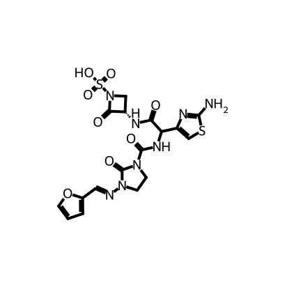 Nc1nc(C(NC(=O)N2CCN(N=Cc3ccco3)C2=O)C(=O)N[C@H]2CN(S(=O)(=O)O)C2=O)cs1